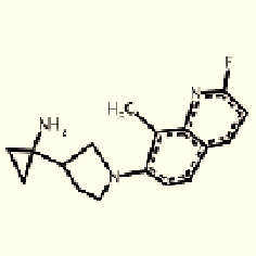 Cc1c(N2CCC(C3(N)CC3)C2)ccc2ccc(F)nc12